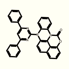 O=C1Oc2cccc3ccc4c(c23)N1c1ccccc1B4c1nc(-c2ccccc2)cc(-c2ccccc2)n1